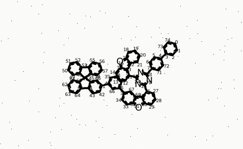 c1ccc(-c2ccc(-c3nc(-c4cccc5oc6ccccc6c45)nc(-c4cccc5oc6ccc(-c7cccc(-c8ccc9c(c8)C8(c%10ccccc%10-c%10ccccc%108)c8ccccc8-9)c7)cc6c45)n3)cc2)cc1